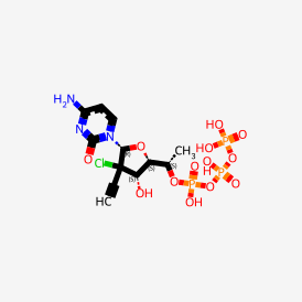 C#CC1(Cl)[C@@H](O)[C@@H]([C@H](C)OP(=O)(O)OP(=O)(O)OP(=O)(O)O)O[C@H]1n1ccc(N)nc1=O